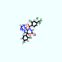 CC1N(C(=O)c2ccc(C(F)(F)F)cc2F)CC(=O)OC1(Cn1cncn1)c1ccc(F)cc1F